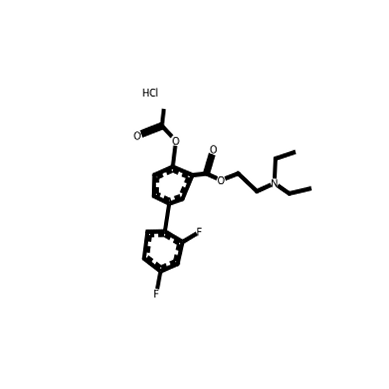 CCN(CC)CCOC(=O)c1cc(-c2ccc(F)cc2F)ccc1OC(C)=O.Cl